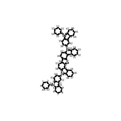 c1ccc(-n2c3ccccc3c3cc(-n4c5ccccc5c5c6sc7c(ccc8c7c7ccccc7n8-c7ccc8c(c7)c7ccccc7n8-c7ccccc7)c6ccc54)ccc32)cc1